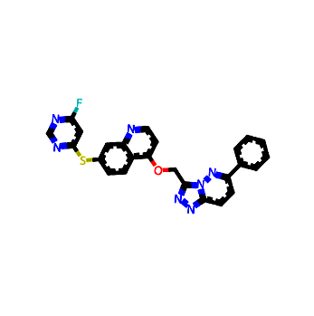 Fc1cc(Sc2ccc3c(OCc4nnc5ccc(-c6ccccc6)nn45)ccnc3c2)ncn1